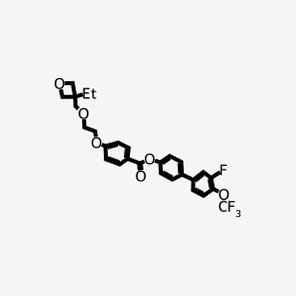 CCC1(COCCOc2ccc(C(=O)Oc3ccc(-c4ccc(OC(F)(F)F)c(F)c4)cc3)cc2)COC1